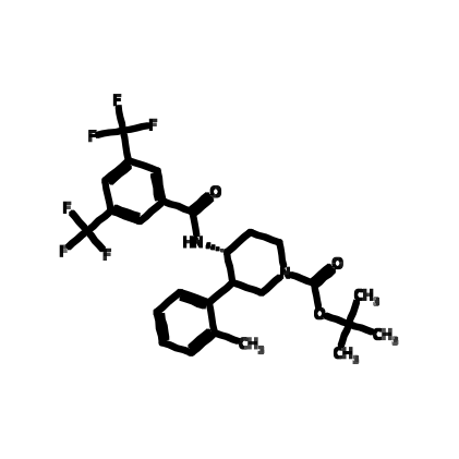 Cc1ccccc1C1CN(C(=O)OC(C)(C)C)CC[C@H]1NC(=O)c1cc(C(F)(F)F)cc(C(F)(F)F)c1